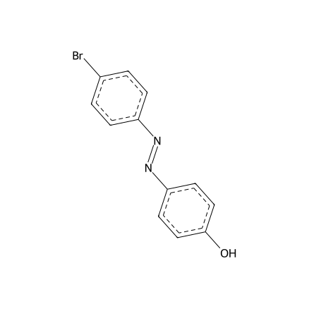 Oc1ccc(N=Nc2ccc(Br)cc2)cc1